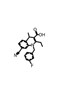 CCC1=C(C(=O)O)C(C)c2ccc(C#N)cc2N1Cc1cccc(F)c1